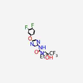 CCN(C[C@@H](O)C(F)(F)F)C(=O)Nc1cnc(Oc2ccc(F)c(F)c2)cn1